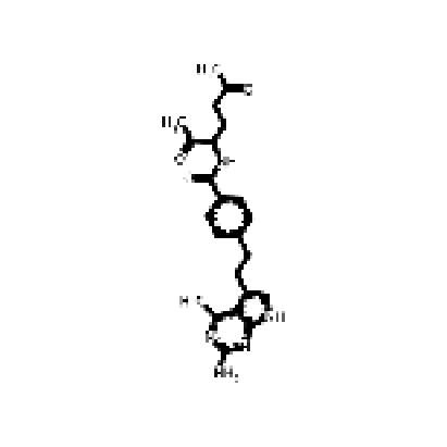 CC(=O)CCC(NC(=O)c1ccc(CCc2c[nH]c3nc(N)nc(C)c23)cc1)C(C)=O